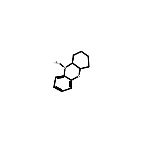 CC(C)(C)N1c2ccccc2SC2CCCCC21